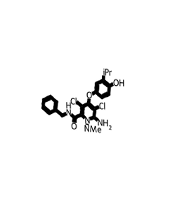 CNN1C(C(=O)NCc2ccccc2)=C(Cl)C(Oc2ccc(O)c(C(C)C)c2)=C(Cl)C1N